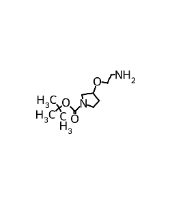 CC(C)(C)OC(=O)N1CCC(OCCN)C1